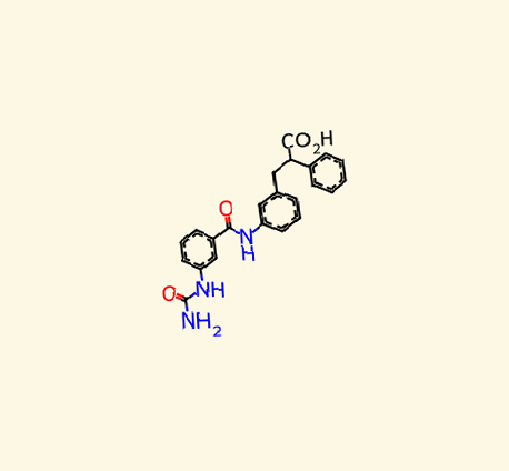 NC(=O)Nc1cccc(C(=O)Nc2cccc(CC(C(=O)O)c3ccccc3)c2)c1